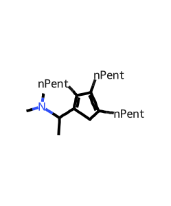 CCCCCC1=C(CCCCC)C(CCCCC)=C(C(C)N(C)C)C1